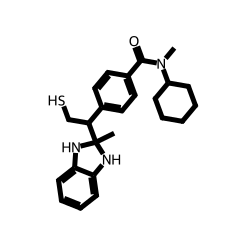 CN(C(=O)c1ccc(C(CS)C2(C)Nc3ccccc3N2)cc1)C1CCCCC1